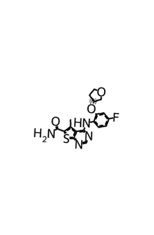 Cc1c(C(N)=O)sc2ncnc(Nc3ccc(F)cc3O[C@@H]3CCOC3)c12